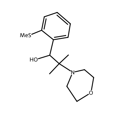 CSc1ccccc1C(O)C(C)(C)N1CCOCC1